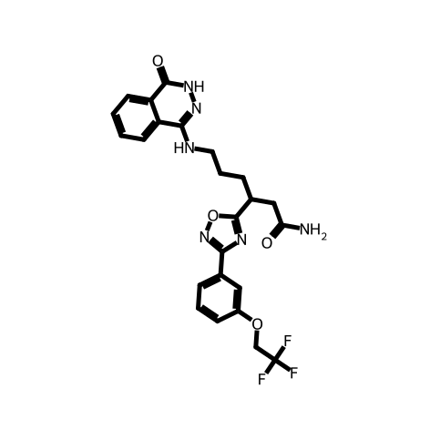 NC(=O)CC(CCCNc1n[nH]c(=O)c2ccccc12)c1nc(-c2cccc(OCC(F)(F)F)c2)no1